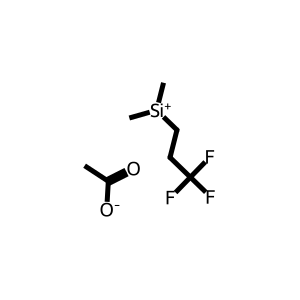 CC(=O)[O-].C[Si+](C)CCC(F)(F)F